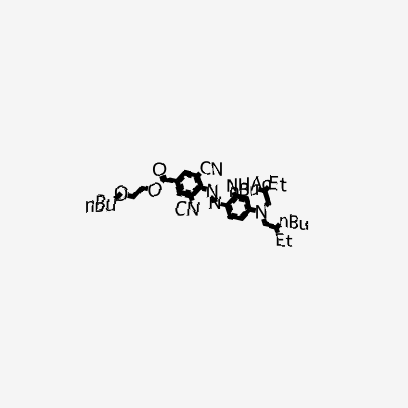 CCCCOCCOC(=O)c1cc(C#N)c(N=Nc2ccc(N(CC(CC)CCCC)CC(CC)CCCC)cc2NC(C)=O)c(C#N)c1